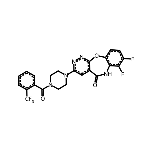 O=C1Nc2c(ccc(F)c2F)Oc2nnc(N3CCN(C(=O)c4ccccc4C(F)(F)F)CC3)cc21